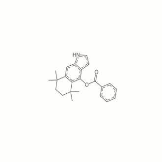 CC1(C)CCC(C)(C)c2c1cc1[nH]ccc1c2OC(=O)c1ccccc1